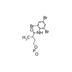 CC(CCOP=O)C(=O)Nc1c(Br)cc(Br)cc1Br